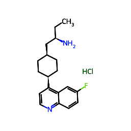 CC[C@@H](N)C[C@H]1CC[C@@H](c2ccnc3ccc(F)cc32)CC1.Cl